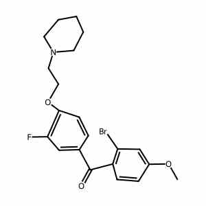 COc1ccc(C(=O)c2ccc(OCCN3CCCCC3)c(F)c2)c(Br)c1